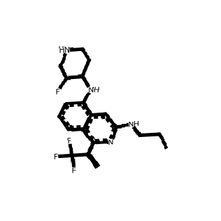 C=C(c1nc(NCCC)cc2c(NC3CCNCC3F)cccc12)C(F)(F)F